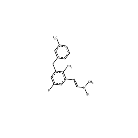 CCN(C)C=Nc1cc(F)cc(Cc2cccc(C(F)(F)F)c2)c1C